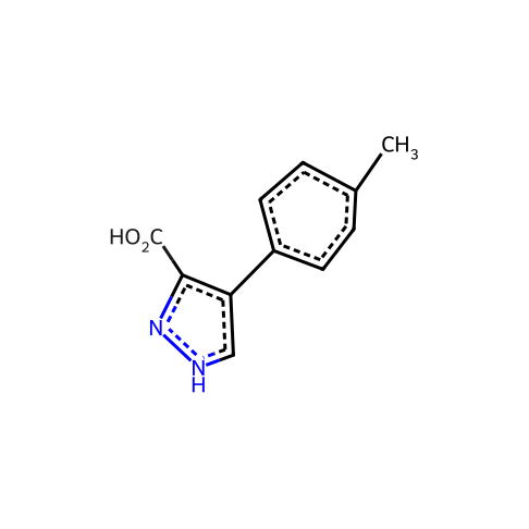 Cc1ccc(-c2c[nH]nc2C(=O)O)cc1